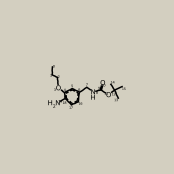 CCCOc1cc(CNC(=O)OC(C)(C)C)ccc1N